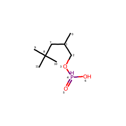 CC(CO[PH](=O)O)CC(C)(C)C